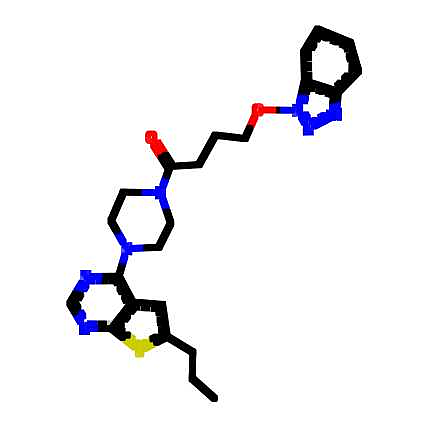 CCCc1cc2c(N3CCN(C(=O)CCCOn4nnc5ccccc54)CC3)ncnc2s1